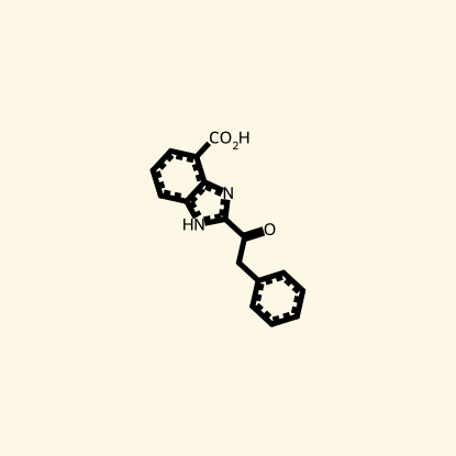 O=C(Cc1ccccc1)c1nc2c(C(=O)O)cccc2[nH]1